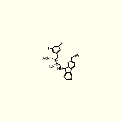 CC(=O)N[C@@H](Cc1cc(F)cc(F)c1)[C@H](N)CNC1c2ccccc2-c2ccc(CC(C)C)cc21